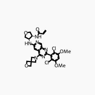 C=CC(=O)N[C@H]1COC[C@H]1Nc1cc2c(N3CC4(COC4)C3)nc(-c3c(Cl)c(OC)cc(OC)c3Cl)nc2cn1